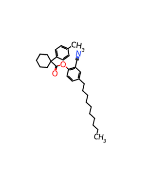 CCCCCCCCCCc1ccc(OC(=O)C2(c3ccc(C)cc3)CCCCC2)c(C#N)c1